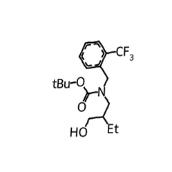 CCC(CO)CN(Cc1ccccc1C(F)(F)F)C(=O)OC(C)(C)C